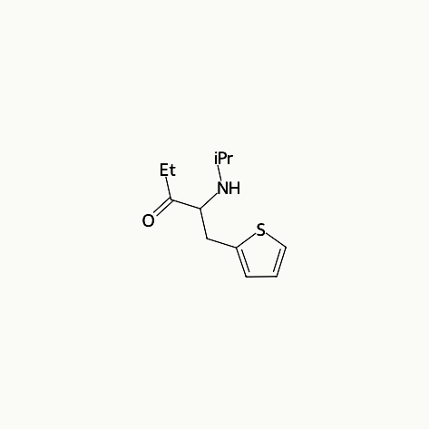 CCC(=O)C(Cc1cccs1)NC(C)C